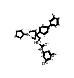 O=C(NCC1(c2ccc(-c3cccc(Cl)c3)cc2)CCN(C2CCCC2)CC1)Nc1cc(Cl)cc(Cl)c1